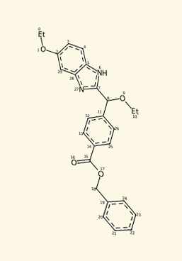 CCOc1ccc2[nH]c(C(OCC)c3ccc(C(=O)OCc4ccccc4)cc3)nc2c1